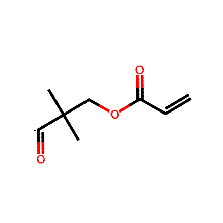 C=CC(=O)OCC(C)(C)[C]=O